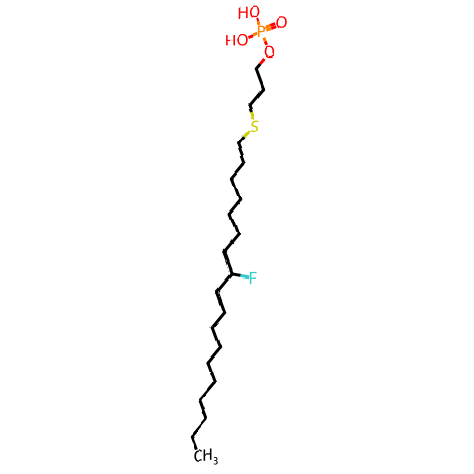 CCCCCCCCCCC(F)CCCCCCCSCCCOP(=O)(O)O